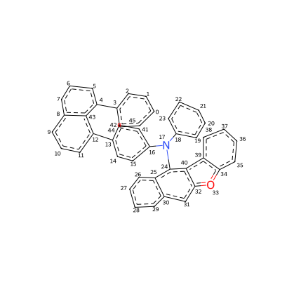 c1ccc(-c2cccc3cccc(-c4ccc(N(c5ccccc5)c5c6ccccc6cc6oc7ccccc7c56)cc4)c23)cc1